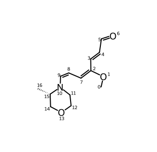 COC(/C=C/C=O)=C/C=C\N1CCOC[C@@H]1C